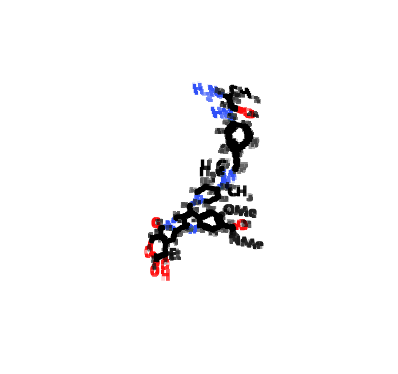 CC[C@@]1(O)C(=O)OCc2c1cc1n(c2=O)Cc2c-1nc1cc(C(=O)NC)c(OC)cc1c2CN1CCC([N+](C)(C)Cc2ccc(NC(=O)[C@H](C)N)cc2)CC1